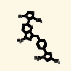 Cc1ncn(C(C)C)c1-c1ncc2c(n1)c(Cc1ccc(-c3nc(C(F)(F)F)cn3C)cc1)nn2C